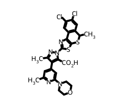 Cc1cc(-c2c(C)nn(-c3nc4c(s3)SC(C)c3cc(Cl)c(Cl)cc3-4)c2C(=O)O)cc(N2CCOCC2)n1